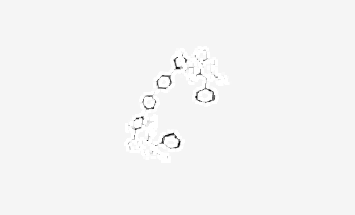 CCN[C@@H](C(=O)N1CCCC1c1ncc(-c2ccc(-c3ccc(-c4cnc([C@@H]5CCCN5C(=O)[C@H](NCC)c5ccccc5)[nH]4)cc3)cc2)[nH]1)c1ccccc1